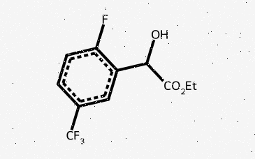 CCOC(=O)C(O)c1cc(C(F)(F)F)ccc1F